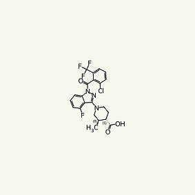 C[C@H]1CN(c2nn(C(=O)c3c(Cl)cccc3C(F)(F)F)c3cccc(F)c23)CC[C@@H]1C(=O)O